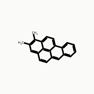 Cc1cc2ccc3cc4ccccc4c4ccc(c1C)c2c34